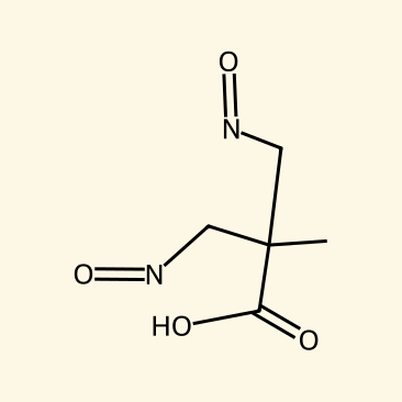 CC(CN=O)(CN=O)C(=O)O